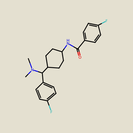 CN(C)C(c1ccc(F)cc1)C1CCC(NC(=O)c2ccc(F)cc2)CC1